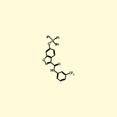 CC(C)[Si](Oc1ccc2c(C(=O)Nc3cccc(C(F)(F)F)c3)noc2c1)(C(C)C)C(C)C